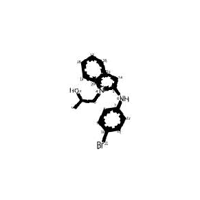 CC(O)Cn1c(Nc2ccc(Br)cc2)cc2ccccc21